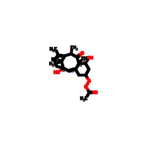 CC(=O)OOC1C/C2=C/[C@]3(O)CCC(C)=C(C(C)C(=O)[C@]2(C)[C@@H](O)C1)C3(C)C